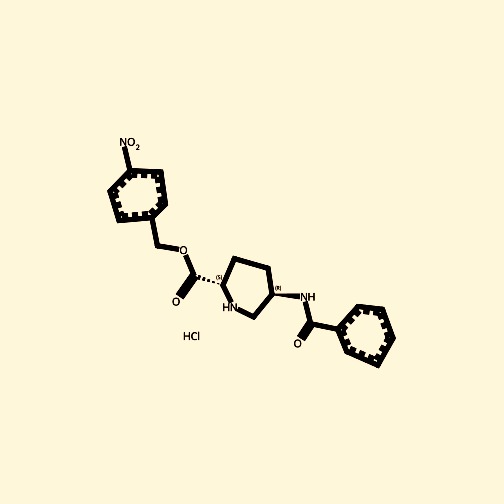 Cl.O=C(N[C@@H]1CC[C@@H](C(=O)OCc2ccc([N+](=O)[O-])cc2)NC1)c1ccccc1